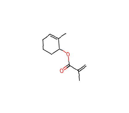 C=C(C)C(=O)OC1CCCC=C1C